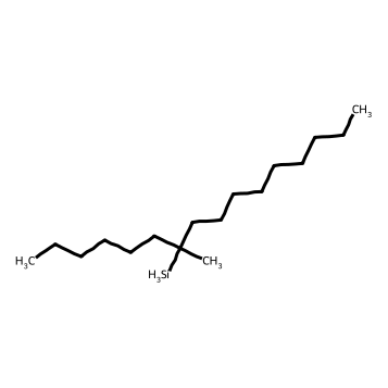 CCCCCCCCCC(C)([SiH3])CCCCCC